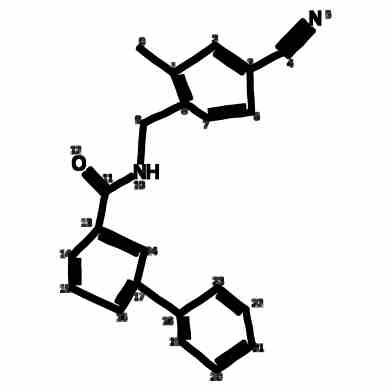 Cc1cc(C#N)ccc1CNC(=O)c1cccc(-c2ccccc2)c1